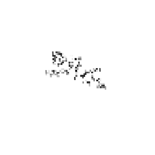 COc1ccc(C(=O)C2=CCCc3c2cc(OC)c(OC)c3OC)cc1O